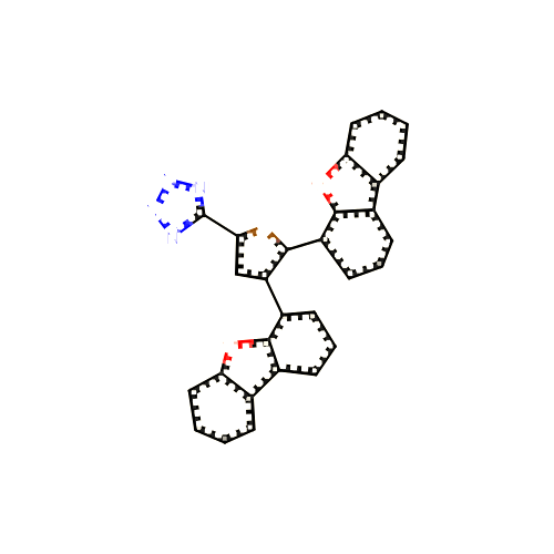 c1ccc2c(c1)oc1c(-c3cc(-c4nnn[nH]4)sc3-c3cccc4c3oc3ccccc34)cccc12